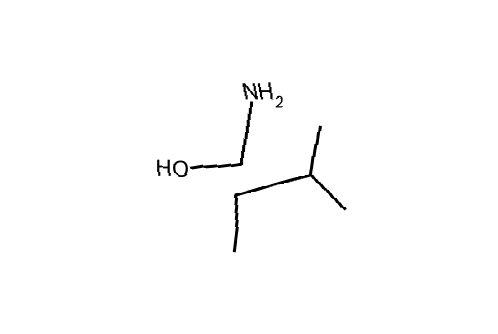 CCC(C)C.NCO